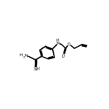 C=CCOC(=O)Nc1ccc(C(=N)N)cc1